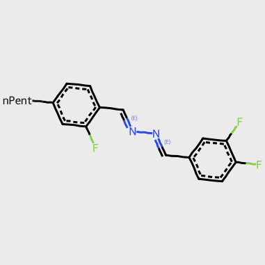 CCCCCc1ccc(/C=N/N=C/c2ccc(F)c(F)c2)c(F)c1